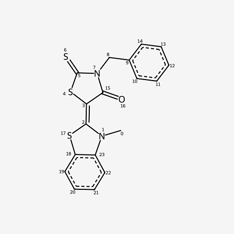 CN1C(=C2SC(=S)N(Cc3ccccc3)C2=O)Sc2ccccc21